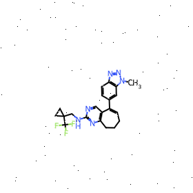 Cn1nnc2ccc(C3=CCCCc4nc(NCC5(C(F)(F)F)CC5)ncc43)cc21